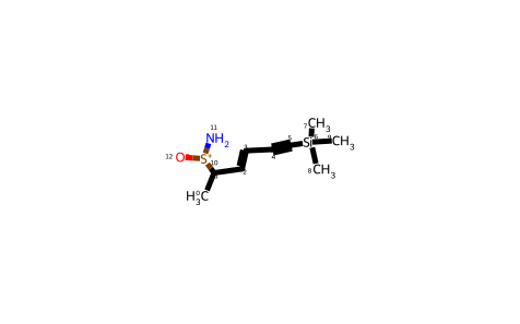 CC(C=CC#C[Si](C)(C)C)[S+](N)[O-]